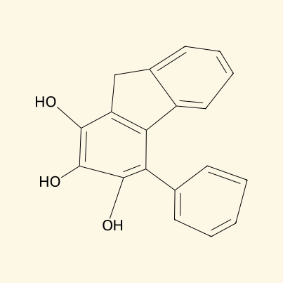 Oc1c(O)c2c(c(-c3ccccc3)c1O)-c1ccccc1C2